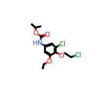 CCOc1cc(NC(=O)OC(C)C)cc(Cl)c1OCCCl